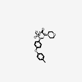 Cc1ccc(Oc2ccc(N(C[C@H](C(N)=O)N3CCOCC3)S(C)(=O)=O)cc2)cc1